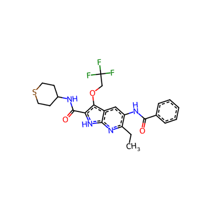 CCc1nc2[nH]c(C(=O)NC3CCSCC3)c(OCC(F)(F)F)c2cc1NC(=O)c1ccccc1